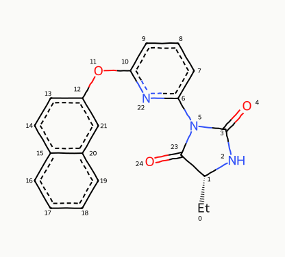 CC[C@H]1NC(=O)N(c2cccc(Oc3ccc4ccccc4c3)n2)C1=O